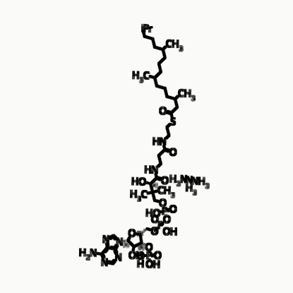 CC(C)CCCC(C)CCCC(C)CCCC(C)CC(=O)SCCNC(=O)CCNC(=O)[C@H](O)C(C)(C)COP(=O)(O)OP(=O)(O)OC[C@H]1O[C@@H](n2cnc3c(N)ncnc32)C(O)[C@H]1OP(=O)(O)O.N.N.N